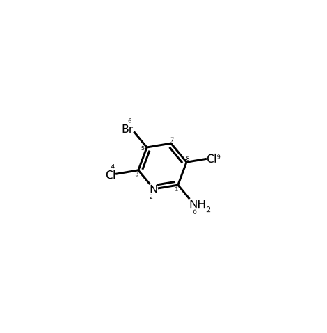 Nc1nc(Cl)c(Br)cc1Cl